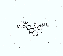 COc1cc2nc3c(c(N[C@@H]4CCCN(C)C4)c2cc1OC)CCCCC3